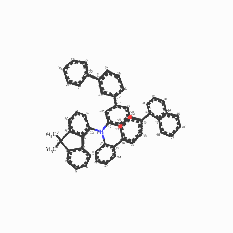 CC1(C)c2ccccc2-c2c(N(c3cccc(-c4cccc(-c5ccccc5)c4)c3)c3ccccc3-c3ccc(-c4cccc5ccccc45)cc3)cccc21